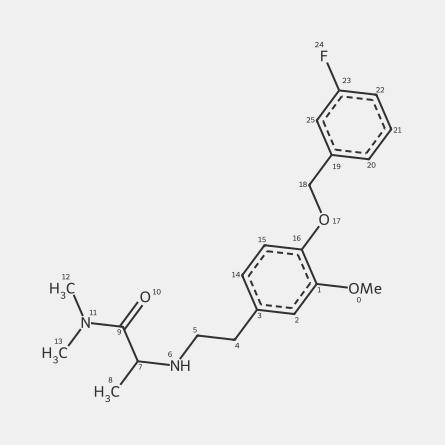 COc1cc(CCNC(C)C(=O)N(C)C)ccc1OCc1cccc(F)c1